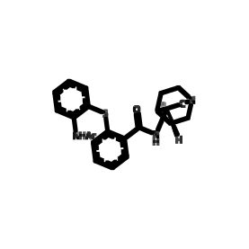 CC(=O)Nc1ccccc1Sc1ccccc1C(=O)N[C@H]1CN2CCC1CC2